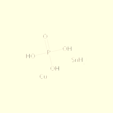 O=P(O)(O)O.[Cu].[SnH2]